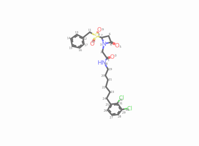 O=C(CN1C(=O)CC1S(=O)(=O)Cc1ccccc1)NCCCCCCc1cccc(Cl)c1Cl